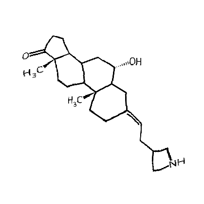 C[C@]12CC/C(=C\CC3CNC3)CC1[C@@H](O)CC1C2CC[C@]2(C)C(=O)CCC12